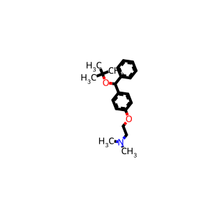 CN(C)CCOc1ccc(C(OC(C)(C)C)c2ccccc2)cc1